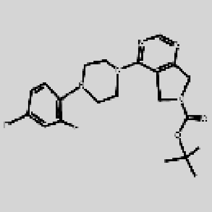 CC(C)(C)OC(=O)N1Cc2ncnc(N3CCN(c4ccc(F)cc4F)CC3)c2C1